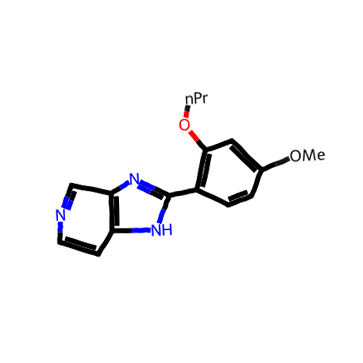 CCCOc1cc(OC)ccc1-c1nc2cnccc2[nH]1